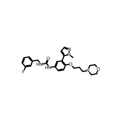 Cn1nccc1-c1cc(NC(=O)NCc2cccc(F)c2)ccc1OCCCN1CCOCC1